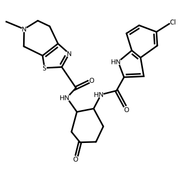 CN1CCc2nc(C(=O)NC3CC(=O)CCC3NC(=O)c3cc4cc(Cl)ccc4[nH]3)sc2C1